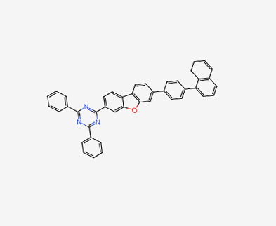 C1=Cc2cccc(-c3ccc(-c4ccc5c(c4)oc4cc(-c6nc(-c7ccccc7)nc(-c7ccccc7)n6)ccc45)cc3)c2CC1